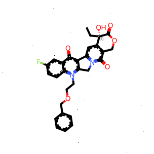 CC[C@@]1(O)C(=O)OCc2c1cc1n(c2=O)Cc2c-1c(=O)c1cc(F)ccc1n2CCOCc1ccccc1